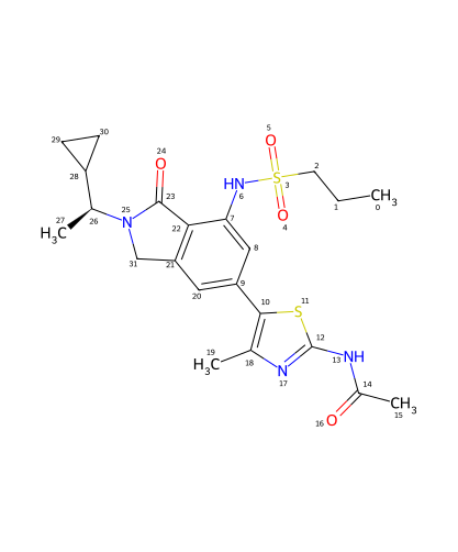 CCCS(=O)(=O)Nc1cc(-c2sc(NC(C)=O)nc2C)cc2c1C(=O)N([C@@H](C)C1CC1)C2